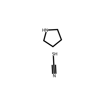 C1CCNC1.N#CS